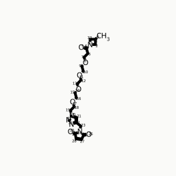 CC1CN(C(=O)CCOCCOCCOCCOCCn2cc(CN3C(=O)C=CC3=O)nn2)C1